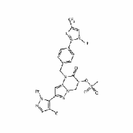 CCn1cc(C(F)(F)F)nc1-c1ccc(CN2C(=O)C(OS(C)(=O)=O)Cn3nc(-c4c(Cl)cnn4C(C)C)cc32)cc1